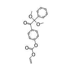 C=COC(=O)Oc1ccc(C(=O)C(OC)(OC)c2ccccc2)cc1